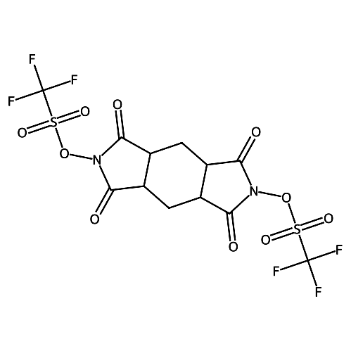 O=C1C2CC3C(=O)N(OS(=O)(=O)C(F)(F)F)C(=O)C3CC2C(=O)N1OS(=O)(=O)C(F)(F)F